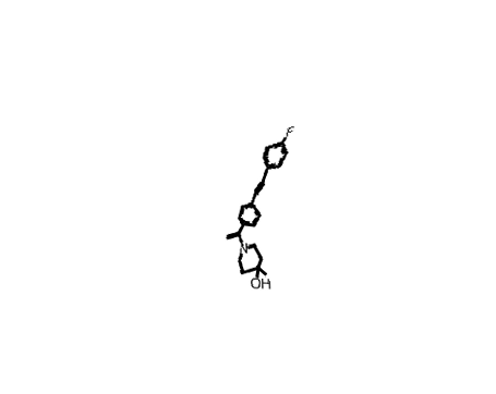 C=C(c1ccc(C#Cc2ccc(F)cc2)cc1)N1CCC(C)(O)CC1